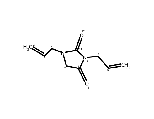 C=CCN1CC(=O)N(CC=C)C1=O